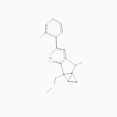 COCC12c3nnc(-c4ccccc4F)cc3C(C)C13CC23